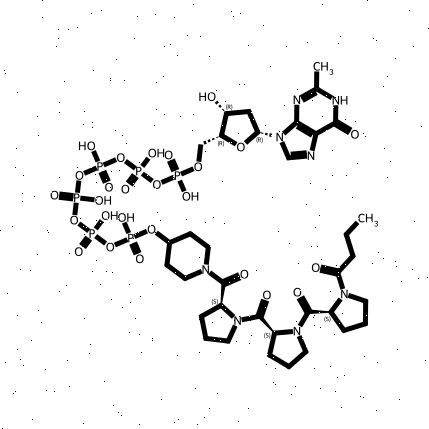 CCCC(=O)N1CCC[C@H]1C(=O)N1CCC[C@H]1C(=O)N1CCC[C@H]1C(=O)N1CCC(OP(=O)(O)OP(=O)(O)OP(=O)(O)OP(=O)(O)OP(=O)(O)OP(=O)(O)OC[C@H]2O[C@@H](n3cnc4c(=O)[nH]c(C)nc43)C[C@H]2O)CC1